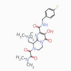 CN(C)CC1c2nc(C(=O)NCc3ccc(F)cc3)c(O)c(=O)n2CCN1C(=O)C(=O)N(C)C